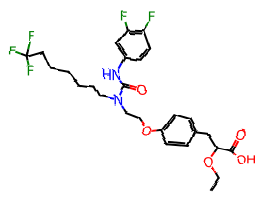 CCOC(Cc1ccc(OCCN(CCCCCCC(F)(F)F)C(=O)Nc2ccc(F)c(F)c2)cc1)C(=O)O